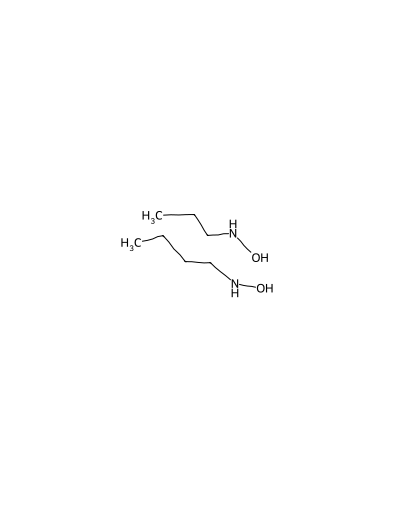 CCCCNO.CCCNO